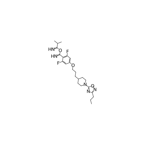 CCCc1noc(N2CCC(CCCOc3cc(F)c(C(=N)OC(=N)C(C)C)c(F)c3)CC2)n1